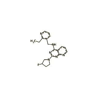 CCc1ncccc1CNc1nc(N2CCC(F)C2)nc2ncccc12